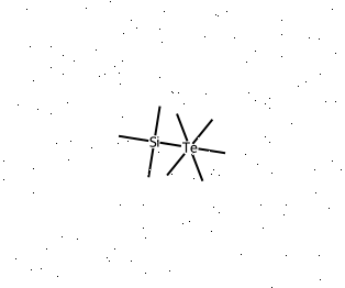 C[Si](C)(C)[Te](C)(C)(C)(C)C